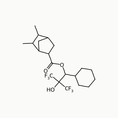 CC1C2CC(C(=O)OC(C3CCCCC3)C(O)(C(F)(F)F)C(F)(F)F)C(C2)C1C